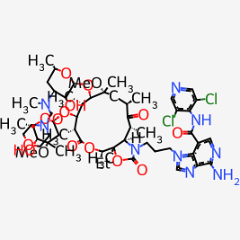 CC[C@H]1OC(=O)[C@H](C)[C@@H](O[C@H]2C[C@@](C)(OC)[C@@H](O)[C@H](C)O2)[C@H](C)[C@@H](O[C@@H]2O[C@H](C)C[C@H](N(C)C(=O)N3CCOCC3)[C@H]2O)[C@](C)(OC)C[C@@H](C)C(=O)[C@H](C)[C@H]2N(CCCn3cnc4c(N)ncc(C(=O)Nc5c(Cl)cncc5Cl)c43)C(=O)O[C@]12C